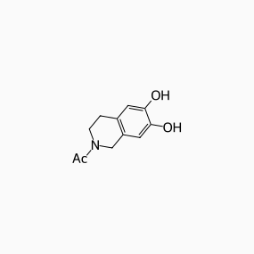 CC(=O)N1CCc2cc(O)c(O)cc2C1